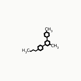 CCCCc1ccc(-c2cc(C)cc(-c3ccc(C)cc3)c2)cc1